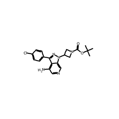 CC(C)(C)OC(=O)N1CC(n2nc(-c3ccc(Cl)cc3)c3c(N)cncc32)C1